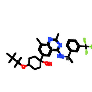 Cc1nc(N[C@H](C)c2cccc(C(F)(F)F)c2)c2cc(C3(O)CCC(O[Si](C)(C)C(C)(C)C)CC3)cc(C)c2n1